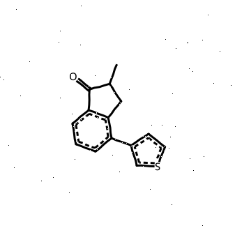 CC1Cc2c(cccc2-c2ccsc2)C1=O